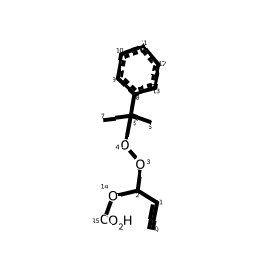 C=CC(OOC(C)(C)c1ccccc1)OC(=O)O